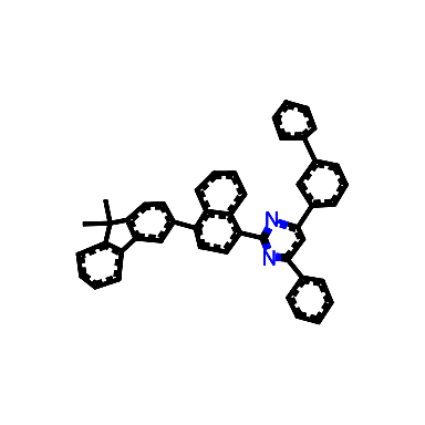 CC1(C)c2ccccc2-c2cc(-c3ccc(-c4nc(-c5ccccc5)cc(-c5cccc(-c6ccccc6)c5)n4)c4ccccc34)ccc21